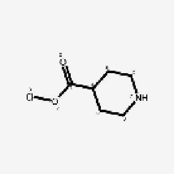 O=C(OCl)C1CCNCC1